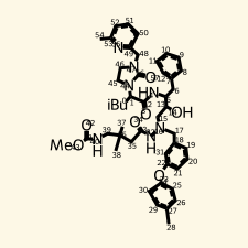 CCC(C)C(C(=O)NC(Cc1ccccc1)C(O)CN(Cc1cccc(Oc2ccc(C)cc2)c1)NC(=O)CC(C)(C)CNC(=O)OC)N1CCN(Cc2cccc(C)n2)C1=O